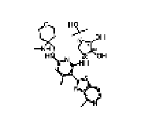 CNC1(CNc2nc(C)c(-c3nc4c(C)nccc4s3)c(N[C@@H]3C[C@H](C(C)(C)O)[C@@H](O)[C@H]3O)n2)CCOCC1